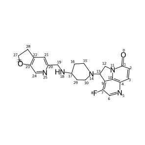 O=c1ccc2ncc(F)c3c2n1CC3N1CCC(NCc2cc3c(cn2)OCC3)CC1